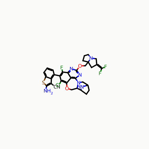 N#Cc1c(N)sc2cccc(-c3c(Cl)c4c5c(nc(OCC67CCCN6CC(=C(F)F)C7)nc5c3F)N3CC5CCC(N5)C3CO4)c12